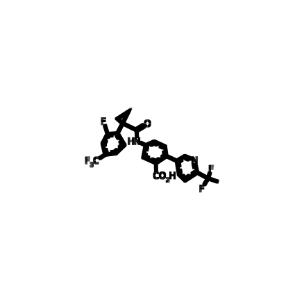 CC(F)(F)c1ccc(-c2ccc(NC(=O)C3(c4ccc(C(F)(F)F)cc4F)CC3)cc2C(=O)O)cn1